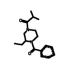 CCC1CN(C(=O)C(C)C)CCN1C(=O)c1ccccc1